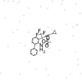 CS(=O)(=O)O[C@](C#CC1CC1)(c1cccc(-c2ccccc2)c1N)C(F)(F)F